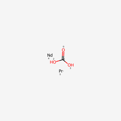 O=C(O)O.[Nd].[Pr]